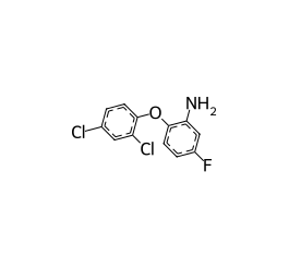 Nc1cc(F)ccc1Oc1ccc(Cl)cc1Cl